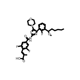 CCCCCC(OC)c1cccc(-c2nc(NC(=O)c3cc(F)c(/C=C(\C)C(=O)O)c(F)c3)sc2N2CCOCC2)c1F